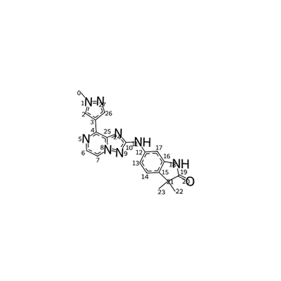 Cn1cc(-c2nccn3nc(Nc4ccc5c(c4)NC(=O)C5(C)C)nc23)cn1